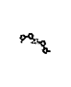 Cc1cccc(-c2cccc(C3NNC(c4cccc(-c5cccc(C)c5)c4)N3)c2)c1